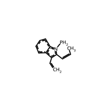 C=Cc1c(/C=C\C)n(P)c2ccccc12